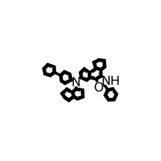 c1ccc(-c2ccc(N(c3ccc4c(c3)c3c(c5ccccc54)NC(c4ccccc4)O3)c3cccc4ccccc34)cc2)cc1